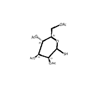 CC(=O)OC[C@H]1OC(S)[C@@H](OC(C)=O)[C@@H](OC(C)=O)[C@@H]1OC(C)=O